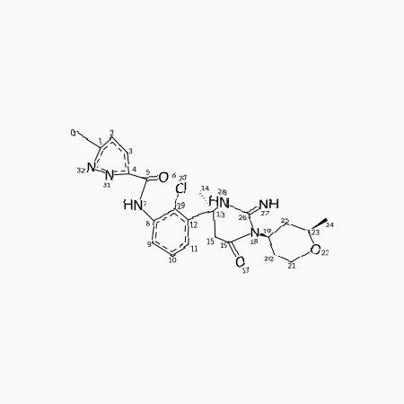 Cc1ccc(C(=O)Nc2cccc([C@]3(C)CC(=O)N([C@@H]4CCO[C@H](C)C4)C(=N)N3)c2Cl)nn1